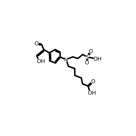 O=C/C(=C/O)c1ccc(N(CCCCCC(=O)O)CCCS(=O)(=O)O)cc1